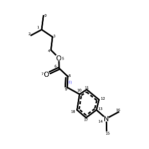 CC(C)CCOC(=O)/C=C/c1ccc(N(C)C)cc1